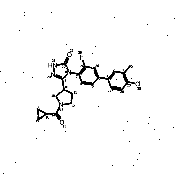 Cc1cc(-c2ccc(-n3c(C4CCN(C(=O)C5CC5)C4)n[nH]c3=O)c(F)c2)ccc1Cl